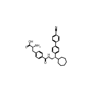 N#Cc1ccc(-c2ccc([C@H](CNC(=O)c3ccc(C[C@H](N)C(=O)O)cc3)C3CCCCCC3)cc2)cc1